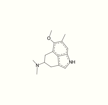 COc1c(C)cc2[nH]cc3c2c1CC(N(C)C)C3